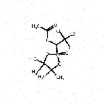 CC(=O)OC(C(Cl)(Cl)Cl)P1(=O)OC(C)(C)C(C)(C)O1